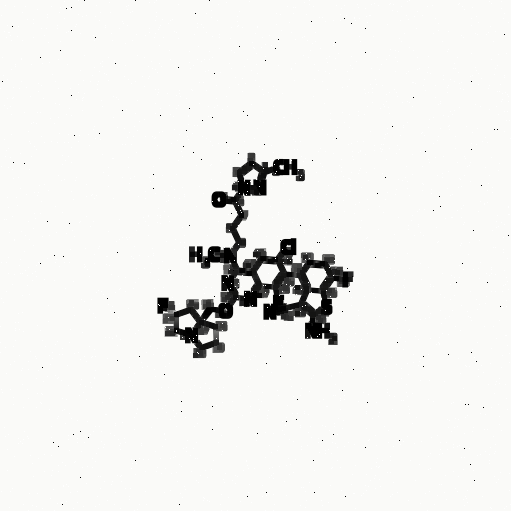 Cc1ccn(C(=O)CCCN(C)c2nc(OC[C@@]34CCCN3C[C@H](F)C4)nc3c(F)c(-c4ccc(F)c5sc(N)c(C#N)c45)c(Cl)cc23)n1